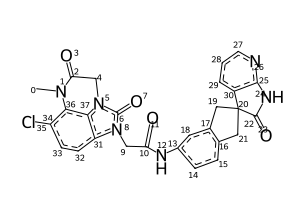 CN1C(=O)Cn2c(=O)n(CC(=O)Nc3ccc4c(c3)CC3(C4)C(=O)Nc4ncccc43)c3ccc(Cl)c1c32